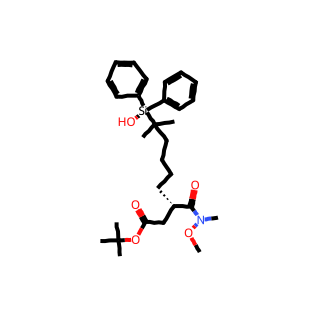 CON(C)C(=O)[C@@H](CCCCC(C)(C)[Si](O)(c1ccccc1)c1ccccc1)CC(=O)OC(C)(C)C